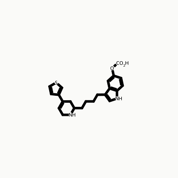 O=C(O)Oc1ccc2[nH]cc(CCCCC3CC(c4ccsc4)=CCN3)c2c1